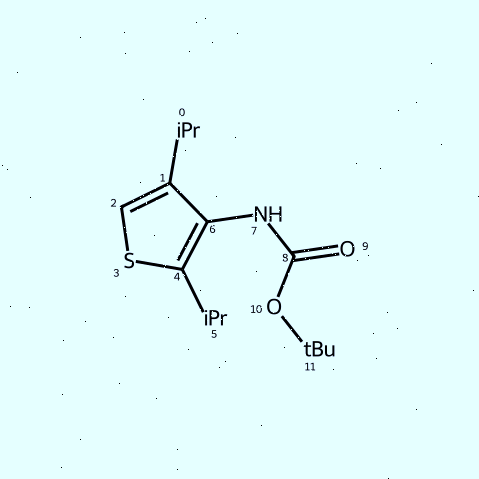 CC(C)c1csc(C(C)C)c1NC(=O)OC(C)(C)C